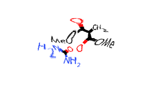 C=C(C(=O)OC)C(=O)OC.NC(N)=O